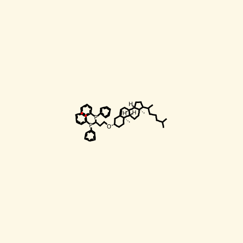 CC(C)CCCC(C)C1CC[C@H]2[C@@H]3CC=C4C[C@@H](OCCC(P(c5ccccc5)c5ccccc5)P(c5ccccc5)c5ccccc5)CC[C@]4(C)[C@H]3CC[C@]12C